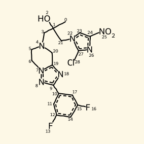 CC(O)(CN1CCn2nc(-c3cc(F)cc(F)c3)nc2C1)Cn1cc([N+](=O)[O-])nc1Cl